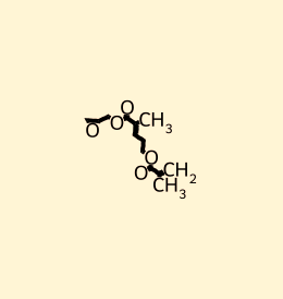 C=C(C)C(=O)OCCC=C(C)C(=O)OCC1CO1